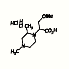 COCC(C(=O)O)N1CCN(C)CC1C.Cl.Cl